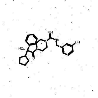 N=C(NCc1cccc(O)c1)N1CCN(C(=O)[C@](O)(c2ccccc2)C2CCCC2)CC1